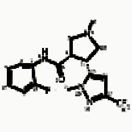 CN1C[C@H](C(=O)Nc2ccccc2F)[C@@H](c2cc(C(F)(F)F)nn2C)C1